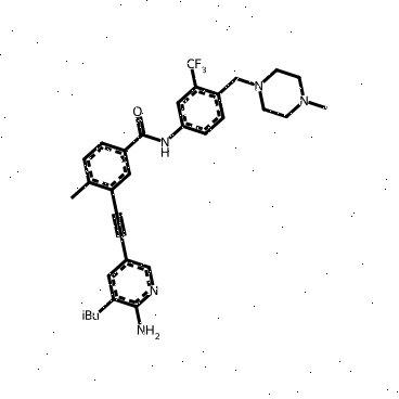 CCC(C)c1cc(C#Cc2cc(C(=O)Nc3ccc(CN4CCN(C)CC4)c(C(F)(F)F)c3)ccc2C)cnc1N